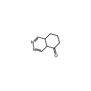 O=C1CCCC2C=NN=CC12